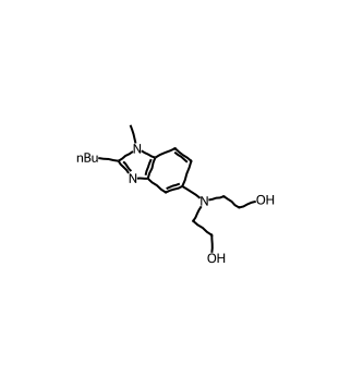 CCCCc1nc2cc(N(CCO)CCO)ccc2n1C